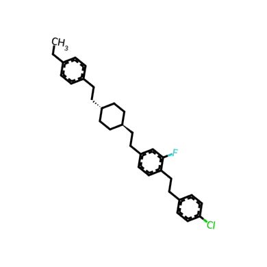 CCc1ccc(CC[C@H]2CC[C@H](CCc3ccc(CCc4ccc(Cl)cc4)c(F)c3)CC2)cc1